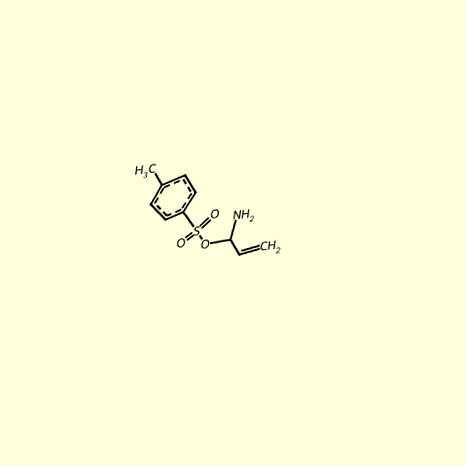 C=CC(N)OS(=O)(=O)c1ccc(C)cc1